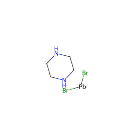 C1CNCCN1.[Br][Pb][Br]